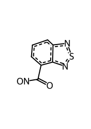 O=NC(=O)c1cccc2nsnc12